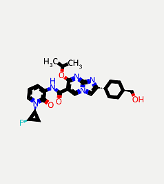 CC(C)Oc1nc2nc([C@H]3CC[C@H](CO)CC3)cn2cc1C(=O)Nc1cccn([C@H]2C[C@H]2F)c1=O